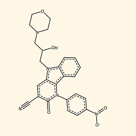 N#Cc1cc2c(c3ccccc3n2CC(O)CN2CCOCC2)n(-c2ccc([N+](=O)[O-])cc2)c1=O